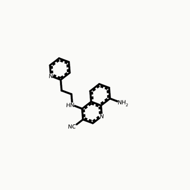 N#Cc1cnc2c(N)cccc2c1NCCc1ccccn1